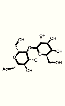 CC(=O)C[C@@H]1O[C@H](CO)[C@@H](OC2O[C@H](CO)[C@H](O)[C@H](O)[C@H]2O)[C@H](O)[C@H]1O